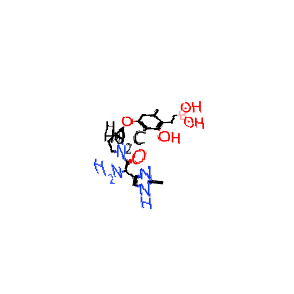 Cc1nc(C(N)C(=O)N2CC[C@@H]3C(OC4=C(C(=O)O)C(O)=C(CCB(O)O)C(C)C4)C32)c[nH]1